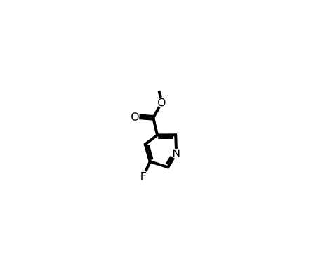 COC(=O)c1cncc(F)c1